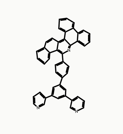 c1cncc(-c2cc(-c3ccc(-c4nc5c6ccccc6c6ccccc6c5c5ccc6ccccc6c45)cc3)cc(-c3cccnc3)c2)c1